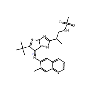 Cc1cc2ncccc2cc1/N=C1/C(C(C)(C)C)=Nn2nc(C(C)CNS(C)(=O)=O)nc21